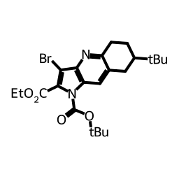 CCOC(=O)c1c(Br)c2nc3c(cc2n1C(=O)OC(C)(C)C)CC(C(C)(C)C)CC3